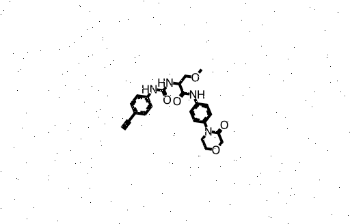 C#Cc1ccc(NC(=O)NC(COC)C(=O)Nc2ccc(N3CCOCC3=O)cc2)cc1